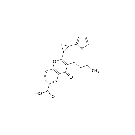 CCCCc1c(C2CC2c2cccs2)oc2ccc(C(=O)O)cc2c1=O